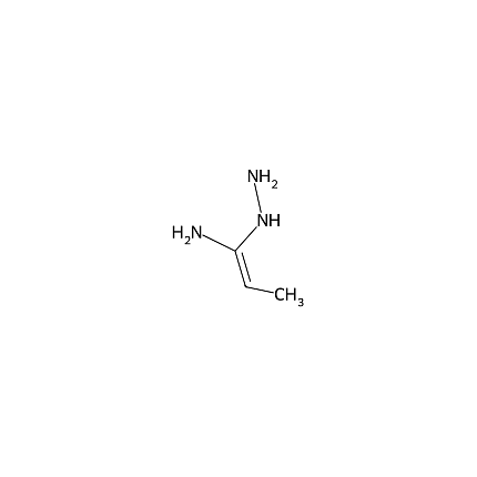 CC=C(N)NN